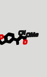 COC(=O)/C(C#N)=C(\C)c1ccc2c(c1)CCO2